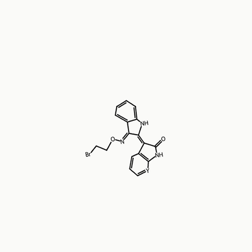 O=C1N[C]2=C(C=C[CH]=[Y]2)/C1=C1/Nc2ccccc2/C1=N\OCCBr